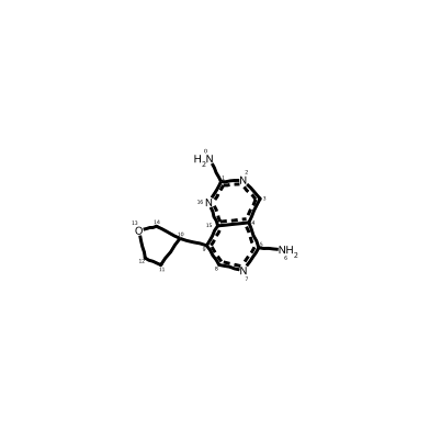 Nc1ncc2c(N)ncc(C3CCOC3)c2n1